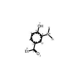 CCC(=O)c1ccc(O)c(N(C)C)c1